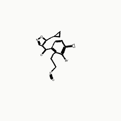 O=[S+]CCc1c(C(=O)c2cnoc2C2CC2)ccc(Cl)c1Br